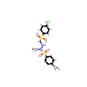 Cc1ccc(S(=O)(=O)N(C)[N]CS(=O)(=O)c2ccc(Cl)cc2)cc1